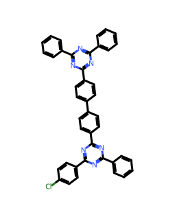 Clc1ccc(-c2nc(-c3ccccc3)nc(-c3ccc(-c4ccc(-c5nc(-c6ccccc6)nc(-c6ccccc6)n5)cc4)cc3)n2)cc1